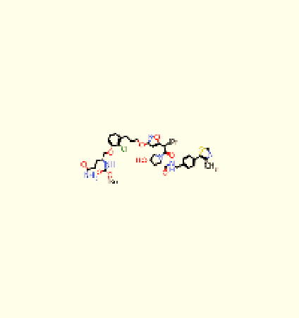 Cc1ncsc1-c1ccc(CNC(=O)[C@@H]2C[C@@H](O)CN2C(=O)C(c2cc(OCCCc3cccc(OC[C@H](CCC(N)=O)NC(=O)OC(C)(C)C)c3Cl)no2)C(C)C)cc1